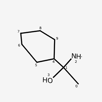 CC([NH])(O)C1CCCCC1